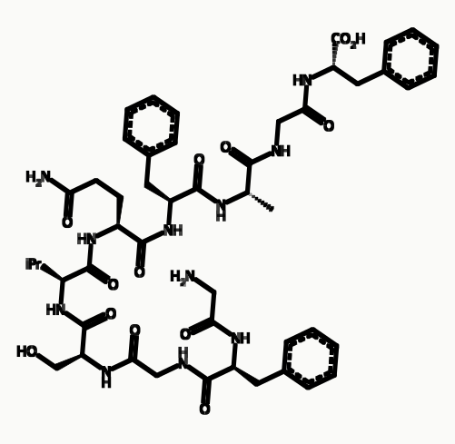 CC(C)[C@H](NC(=O)[C@H](CO)NC(=O)CNC(=O)[C@H](Cc1ccccc1)NC(=O)CN)C(=O)N[C@@H](CCC(N)=O)C(=O)N[C@@H](Cc1ccccc1)C(=O)N[C@@H](C)C(=O)NCC(=O)N[C@@H](Cc1ccccc1)C(=O)O